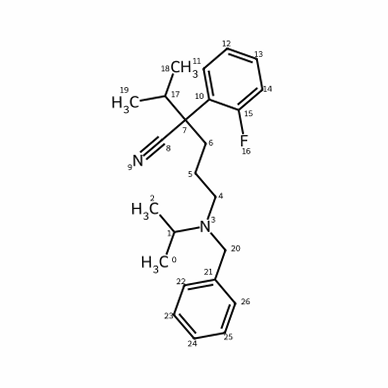 CC(C)N(CCCC(C#N)(c1ccccc1F)C(C)C)Cc1ccccc1